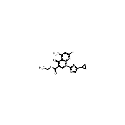 CCOC(=O)c1cn(-c2nc(C3CC3)cs2)c2nc(Cl)cc(C)c2c1=O